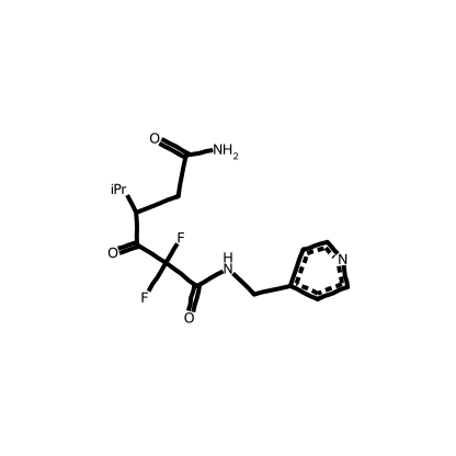 CC(C)C(CC(N)=O)C(=O)C(F)(F)C(=O)NCc1ccncc1